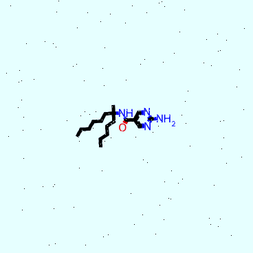 CCCCCCC(C)(CCCCC)NC(=O)c1cnc(N)nc1